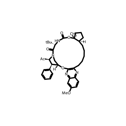 COc1ccc2nc3c(nc2c1)O[C@H]1CN(C(=O)[C@H](C(C)(C)C)NC(=O)O[C@]2(C)CCC[C@H]2CCCCC3)[C@H](C(C)=O)[C@@H]1c1ccccc1